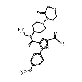 CCN(C(=O)c1cc(C(N)=O)nn1-c1ccc(OC)cc1)C1CCN(N2CCOCC2=O)CC1